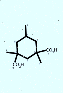 CC1CC(C)(C(=O)O)CC(C)(C(=O)O)C1